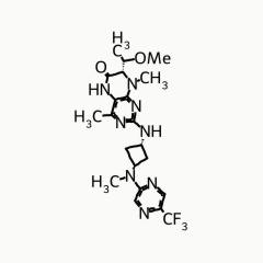 COC(C)[C@H]1C(=O)Nc2c(C)nc(N[C@H]3C[C@H](N(C)c4cnc(C(F)(F)F)cn4)C3)nc2N1C